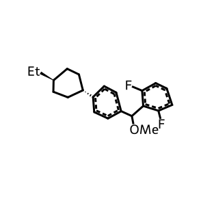 CC[C@H]1CC[C@H](c2ccc(C(OC)c3c(F)cccc3F)cc2)CC1